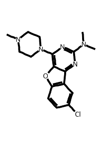 CN1CCN(c2nc(N(C)C)nc3c2oc2ccc(Cl)cc23)CC1